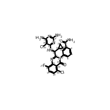 NC(=O)c1cccc(-n2c(C(Nc3nc(N)nc(N)c3Cl)C3CC3)nc3c(F)ccc(Cl)c3c2=O)c1